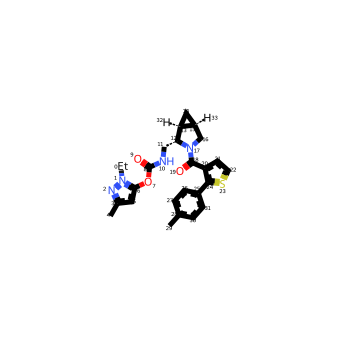 CCn1nc(C)cc1OC(=O)NC[C@@H]1[C@H]2C[C@H]2CN1C(=O)c1ccsc1-c1ccc(C)cc1